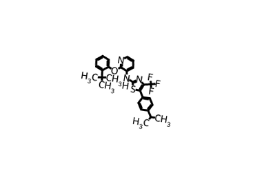 CC(C)c1ccc(-c2sc(Nc3cccnc3Oc3ccccc3C(C)(C)C)nc2C(F)(F)F)cc1